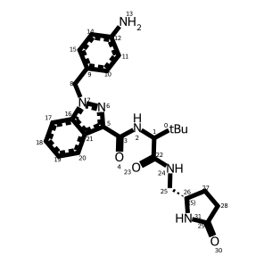 CC(C)(C)C(NC(=O)c1nn(Cc2ccc(N)cc2)c2ccccc12)C(=O)NC[C@@H]1CCC(=O)N1